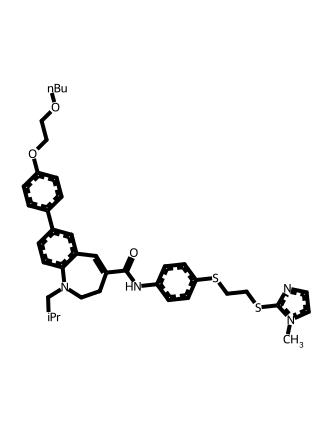 CCCCOCCOc1ccc(-c2ccc3c(c2)C=C(C(=O)Nc2ccc(SCCSc4nccn4C)cc2)CCN3CC(C)C)cc1